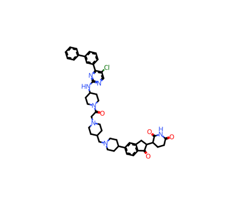 O=C1CCC(C2Cc3cc(C4CCN(CC5CCN(CC(=O)N6CCC(Nc7ncc(Cl)c(-c8cccc(-c9ccccc9)c8)n7)CC6)CC5)CC4)ccc3C2=O)C(=O)N1